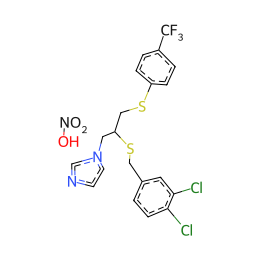 FC(F)(F)c1ccc(SCC(Cn2ccnc2)SCc2ccc(Cl)c(Cl)c2)cc1.O=[N+]([O-])O